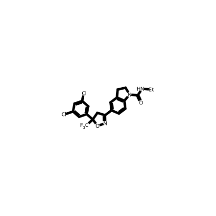 CCNC(=O)N1CCc2cc(C3=NOC(c4cc(Cl)cc(Cl)c4)(C(F)(F)F)C3)ccc21